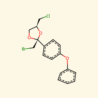 ClC[C@@H]1CO[C@@](CBr)(c2ccc(Oc3ccccc3)cc2)O1